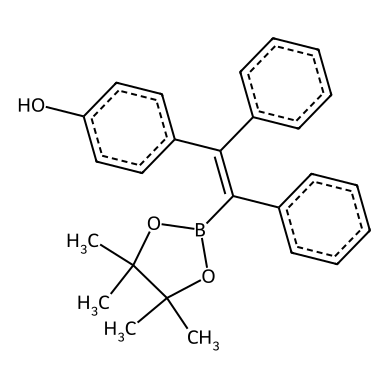 CC1(C)OB(/C(=C(/c2ccccc2)c2ccc(O)cc2)c2ccccc2)OC1(C)C